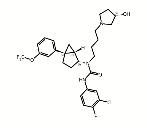 O=C(Nc1ccc(F)c(Cl)c1)N(CCCCN1CC[C@H](O)C1)[C@@H]1CC[C@]2(c3cccc(OC(F)(F)F)c3)C[C@H]12